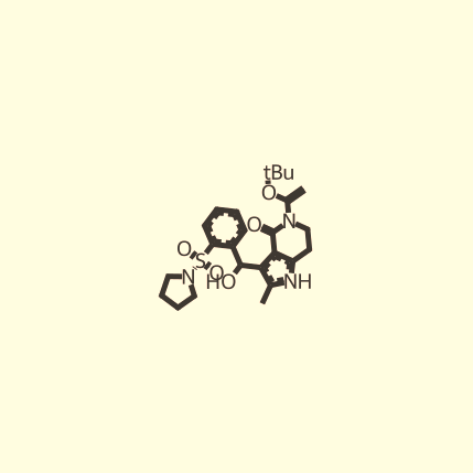 C=C(OC(C)(C)C)N1CCc2[nH]c(C)c(C(O)c3ccccc3S(=O)(=O)N3CCCC3)c2C1=O